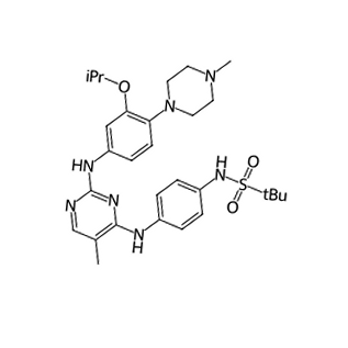 Cc1cnc(Nc2ccc(N3CCN(C)CC3)c(OC(C)C)c2)nc1Nc1ccc(NS(=O)(=O)C(C)(C)C)cc1